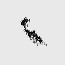 C=C(CC)CCC1=C(CN2CCN(c3ccc(C(=O)NS(=O)(=O)c4ccc(N[C@H](CCN5CCN(C(=O)CCCCCCNc6cccc7c6C(=O)N(C6CCC(=O)NC6=O)C7=O)CC5)CSc5ccccc5)c(S(=O)(=O)C(F)(F)F)c4)cc3)CC2)CCC(C)(C)C1